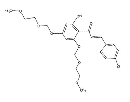 COCCOCOc1cc(O)c(C(=O)C=Cc2ccc(Cl)cc2)c(OCOCCOC)c1